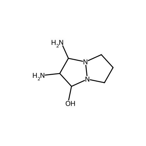 NC1C(N)N2CCCN2C1O